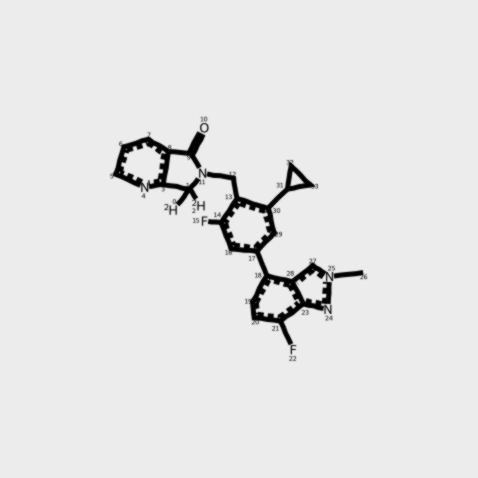 [2H]C1([2H])c2ncccc2C(=O)N1Cc1c(F)cc(-c2ccc(F)c3nn(C)cc23)cc1C1CC1